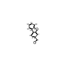 O=[C]c1ccc2c(c1)oc1ccccc12